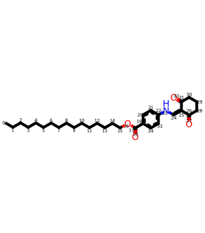 CCCCCCCCCCCCCCCCOC(=O)c1ccc(NC=C2C(=O)CCCC2=O)cc1